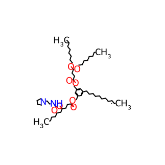 C[CH]CCCCCCCCCc1cc(COC(=O)CCC(CCCCCC)OC(=O)NCCN2CCCC2)cc(COC(=O)CCC(OCCCCCCCC)OCCCCCCCC)c1